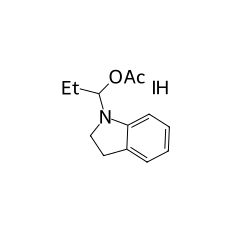 CCC(OC(C)=O)N1CCc2ccccc21.I